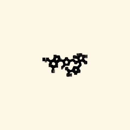 Nc1nc(Cl)nc2c1ncn2C1OC(COC(Cc2cc(C(=O)O)no2)(C(=O)O)C(=O)O)CC1F